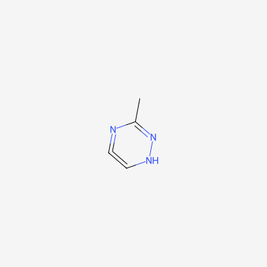 CC1=NNC=C=N1